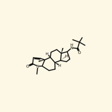 CN1C(=O)C=C[C@@]2(C)C1CC[C@@H]1[C@H]2CC[C@]2(C)C(NC(=O)C(C)(C)C)CC[C@@H]12